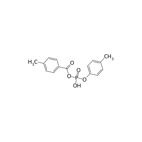 Cc1ccc(OP(=O)(O)OC(=O)c2ccc(C)cc2)cc1